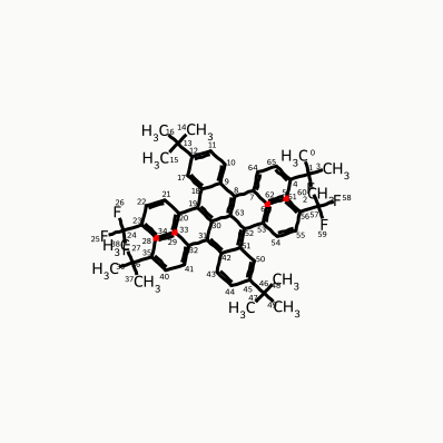 CC(C)(C)c1ccc(-c2c3ccc(C(C)(C)C)cc3c(-c3ccc(C(F)(F)F)cc3)c3c(-c4ccc(C(C)(C)C)cc4)c4ccc(C(C)(C)C)cc4c(-c4ccc(C(F)(F)F)cc4)c23)cc1